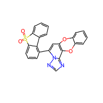 O=S1(=O)c2ccccc2-c2c(-c3cc4c(c5ncnn35)Oc3ccccc3O4)cccc21